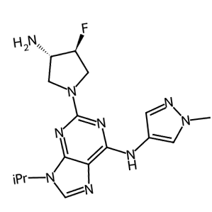 CC(C)n1cnc2c(Nc3cnn(C)c3)nc(N3C[C@H](N)[C@@H](F)C3)nc21